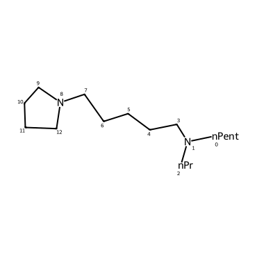 CCCCCN(CCC)CCCCCN1CCCC1